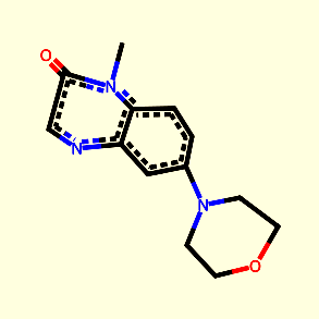 Cn1c(=O)cnc2cc(N3CCOCC3)ccc21